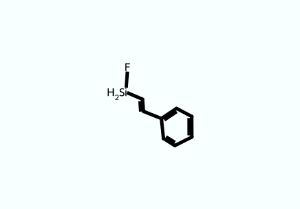 F[SiH2]C=Cc1ccccc1